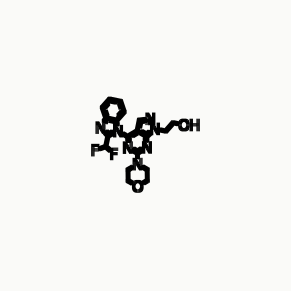 OCCn1ncc2c(-n3c(C(F)F)nc4ccccc43)nc(N3CCOCC3)nc21